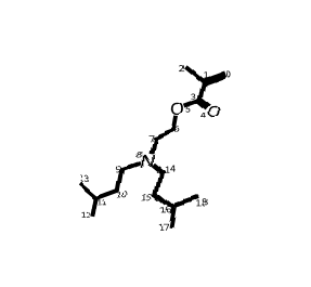 C=C(C)C(=O)OCCN(CCC(C)C)CCC(C)C